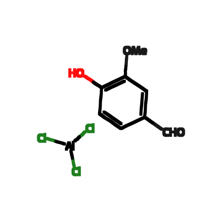 COc1cc(C=O)ccc1O.[Cl][Al]([Cl])[Cl]